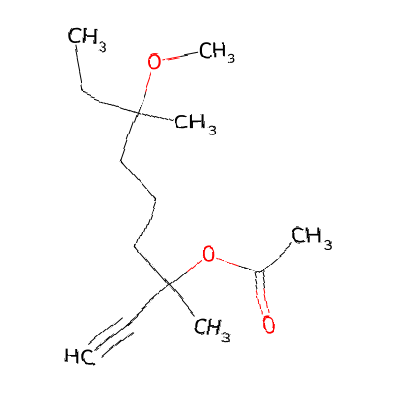 C#CC(C)(CCCC(C)(CC)OC)OC(C)=O